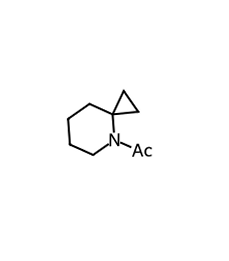 CC(=O)N1CCCCC12CC2